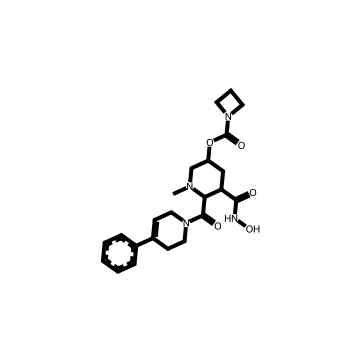 CN1CC(OC(=O)N2CCC2)CC(C(=O)NO)C1C(=O)N1CC=C(c2ccccc2)CC1